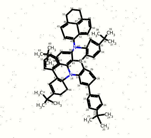 CC(C)(C)C1=CC(c2ccccc2)=C(N2c3cc(-c4ccc(C(C)(C)C)cc4)ccc3B3c4ccc(C(C)(C)C)cc4N(c4ccc5c6c(cccc46)CCC5)c4cc(C(C)(C)C)cc2c43)CC1